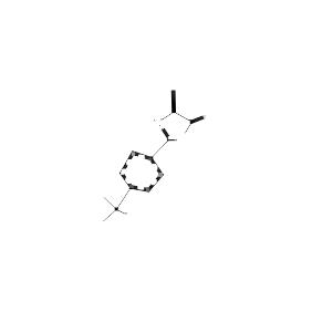 C=C1N=C(c2ccc(C(C)(F)F)cc2)OC1=O